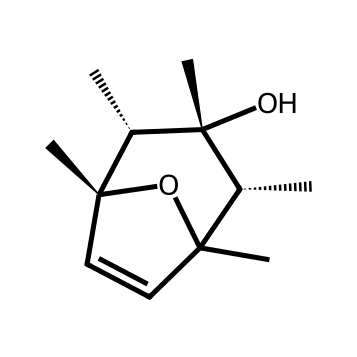 C[C@@H]1C2(C)C=C[C@@](C)(O2)[C@H](C)[C@]1(C)O